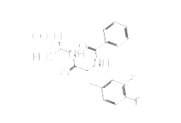 C[C@H](NC(=O)[C@@H](Cc1ccc(F)c(F)c1)NC(=O)c1ccccc1)C(=O)O